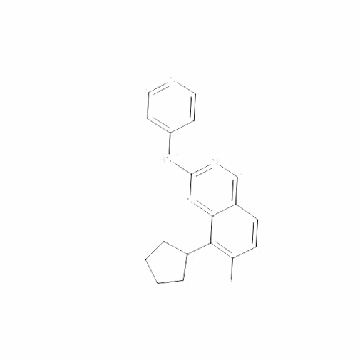 Oc1ccc2cnc(Nc3ccncc3)nc2c1C1CCCC1